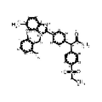 CCS(=O)(=O)c1ccc(C(C(N)=O)c2ccc(-c3nc4ccc(C)cc4n3Cc3c(F)cccc3F)cc2)cc1